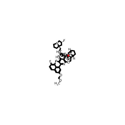 COCOc1cc(-c2nc3c4c(nc(OC[C@@]56CCCN5C[C@H](F)C6)nc4c2F)N2C[C@@H]4CC[C@H]([C@H]2CO3)N4C(=O)OC(C)(C)C)c2c(F)c(F)ccc2c1